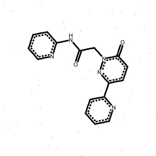 O=C(Cn1nc(-c2ccccn2)ccc1=O)Nc1ccccn1